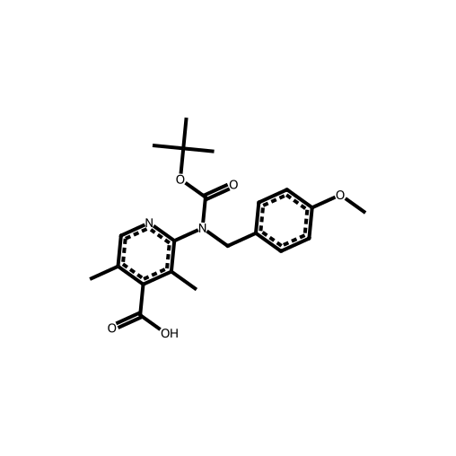 COc1ccc(CN(C(=O)OC(C)(C)C)c2ncc(C)c(C(=O)O)c2C)cc1